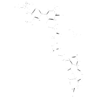 COc1cc(-c2cn(C)c(=O)c3c2CCN(C(=O)NCCS(=O)(=O)CCNc2cccc4c2C(=O)N(C2CCC(=O)NC2=O)C4=O)C3)cc(OC)c1CN(C)C.O=CO